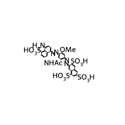 COc1cc(N=Nc2cc3c(S(=O)(=O)O)cc(S(=O)(=O)O)cc3cc2S(=O)(=O)O)c(NC(C)=O)cc1N=Nc1ccc(N)c2c(S(=O)(=O)O)cccc12